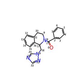 O=C(c1ccccc1)N1CCc2ccccc2C1Cn1cncn1